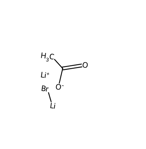 CC(=O)[O-].[Li+].[Li][Br]